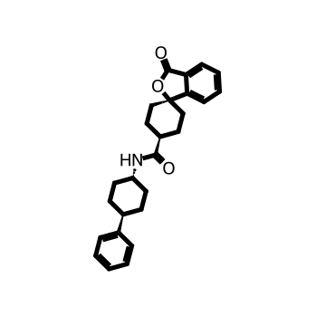 O=C1O[C@]2(CC[C@H](C(=O)N[C@H]3CC[C@H](c4ccccc4)CC3)CC2)c2ccccc21